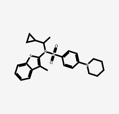 Cc1c(N(C(C)C2CC2)S(=O)(=O)c2ccc(N3CCCCC3)cc2)sc2ccccc12